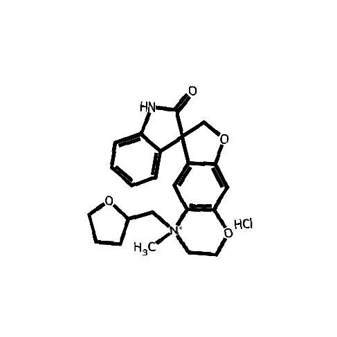 C[N+]1(CC2CCCO2)CCOc2cc3c(cc21)C1(CO3)C(=O)Nc2ccccc21.Cl